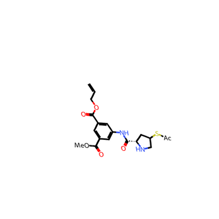 C=CCOC(=O)c1cc(NC(=O)[C@@H]2CC(SC(C)=O)CN2)cc(C(=O)OC)c1